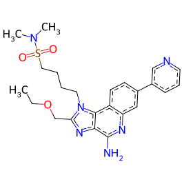 CCOCc1nc2c(N)nc3cc(-c4cccnc4)ccc3c2n1CCCCS(=O)(=O)N(C)C